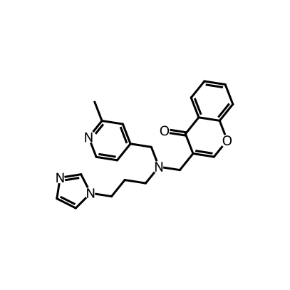 Cc1cc(CN(CCCn2ccnc2)Cc2coc3ccccc3c2=O)ccn1